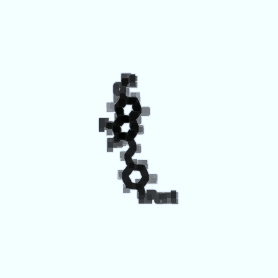 CCCCCC1CCC(CCc2cc3ccc(OCC)cc3c(F)c2F)CC1